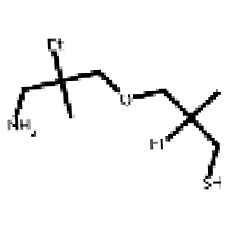 CCC(C)(CN)COCC(C)(CC)CS